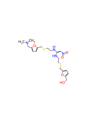 CN(C)Cc1ccc(CSCCN/C(=C/[N+](=O)[O-])NCCSCc2ccc(CO)o2)o1